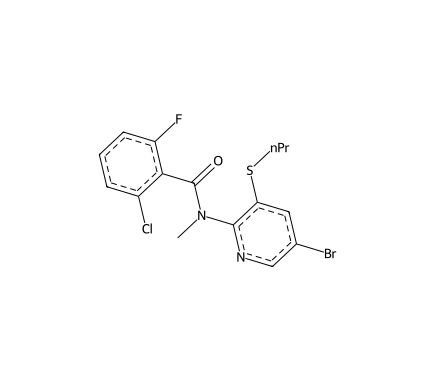 CCCSc1cc(Br)cnc1N(C)C(=O)c1c(F)cccc1Cl